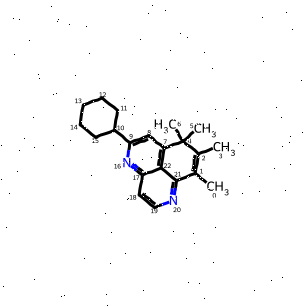 CC1=C(C)C(C)(C)c2cc(C3CCCCC3)nc3ccnc1c23